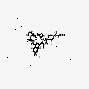 CCCCOC(=O)N1CCN(C(=O)[C@@H](NC(=O)c2cc(OCC(=O)N3CCCC3C(=O)NC3CCC3)c3ccc(C)cc3n2)[C@H](C)CC)CC1